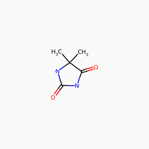 CC1(C)[N]C(=O)[N]C1=O